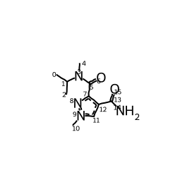 CC(C)N(C)C(=O)c1nn(C)cc1C(N)=O